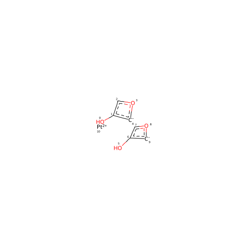 Oc1co[cH-]1.Oc1co[cH-]1.[Pt+2]